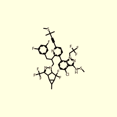 CSNc1nn(CC(F)(F)F)c2c(-c3ccc(C#CC(C)(C)SC)nc3C(Cc3cc(F)cc(F)c3)CN3N=C(C(F)(F)F)C4C5C(C)C5C(F)(F)C43)ccc(Cl)c12